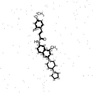 COc1ccc(C=CC(=O)Nc2ccc3nc(N4CCC(N5CCCC5)CC4)cc(C)c3c2)c(F)c1